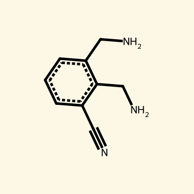 N#Cc1cccc(CN)c1CN